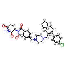 O=C1CCC(N2C(=O)c3ccc(CN4CCN(CC5=C(c6ccc(Cl)cc6)CCC6(CCCC6)C5)CC4)cc3C2=O)C(=O)N1